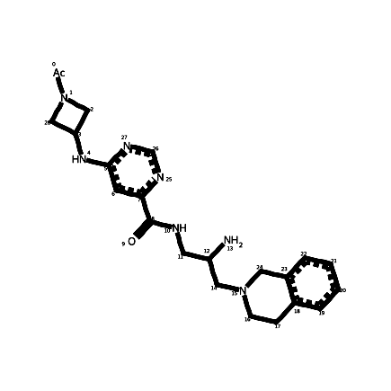 CC(=O)N1CC(Nc2cc(C(=O)NCC(N)CN3CCc4ccccc4C3)ncn2)C1